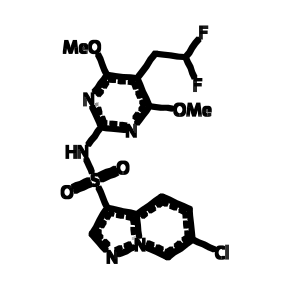 COc1nc(NS(=O)(=O)c2cnn3cc(Cl)ccc23)nc(OC)c1CC(F)F